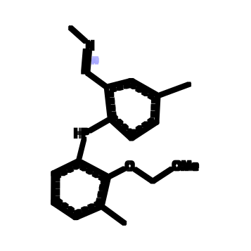 C/N=C/c1cc(C)ccc1Pc1cccc(C)c1OCOC